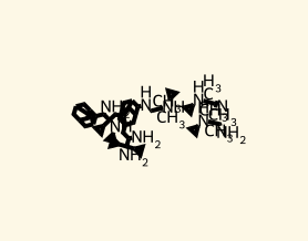 CC(C)(C#N)NC1CC1.CC(C)(CN)NC1CC1.CC(C)(CNC1C2CC3CC1C(CC(NC1CC1)(C1CC1)C(N)C1C4CC5CC(C4)CC1C5)C(CC(N)C(N)(C1CC1)C1CC1)(C3)C2)NC1CC1